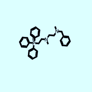 CN(CCN(C)Cc1ccccc1)CC[PH](c1ccccc1)(c1ccccc1)c1ccccc1